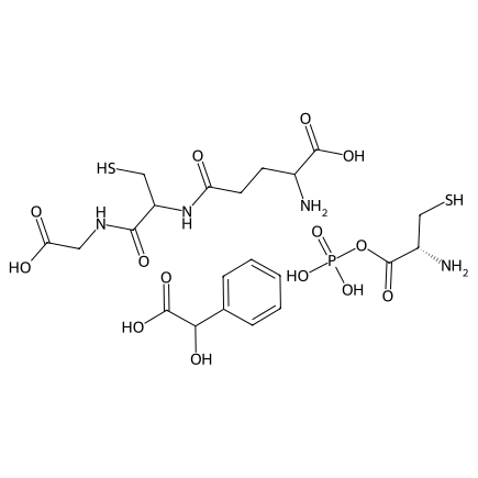 NC(CCC(=O)NC(CS)C(=O)NCC(=O)O)C(=O)O.N[C@@H](CS)C(=O)OP(=O)(O)O.O=C(O)C(O)c1ccccc1